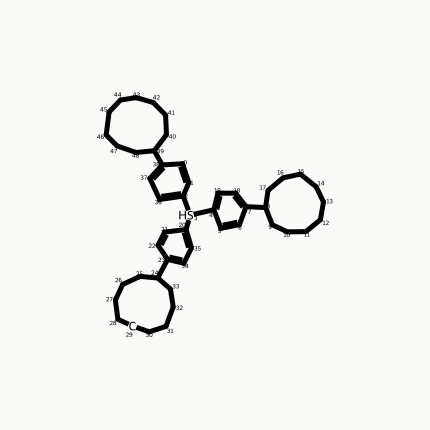 c1cc([SH](c2ccc(C3CCCCCCCCC3)cc2)c2ccc(C3CCCCCCCCC3)cc2)ccc1C1CCCCCCCCC1